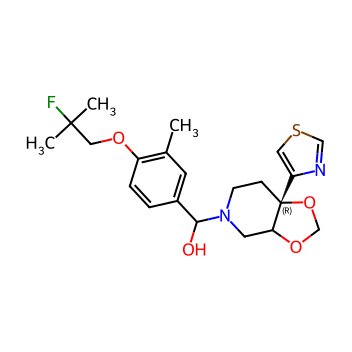 Cc1cc(C(O)N2CC[C@]3(c4cscn4)OCOC3C2)ccc1OCC(C)(C)F